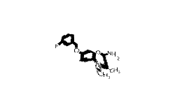 C[C@@H](C(N)=O)N(C)c1ccc(OCc2cccc(F)c2)cc1